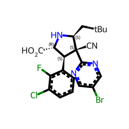 CC(C)(C)C[C@@H]1N[C@@H](C(=O)O)[C@H](c2cccc(Cl)c2F)[C@@]1(C#N)c1ncc(Br)cn1